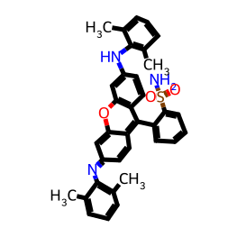 Cc1cccc(C)c1/N=c1\ccc2c(-c3ccccc3S(N)(=O)=O)c3ccc(Nc4c(C)cccc4C)cc3oc-2c1